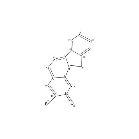 O=C1N=c2c(ccc3c2=Cc2ccccc2-3)C=C1Br